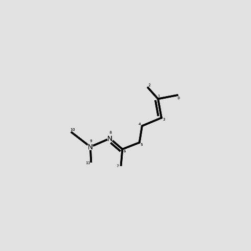 CC(C)=CCCC(C)=NN(C)C